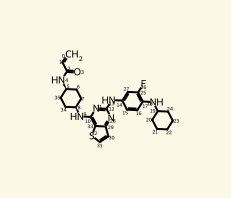 C=CC(=O)N[C@H]1CC[C@@H](Nc2nc(Nc3ccc(NC4CCCCC4)c(F)c3)nc3ccsc23)CC1